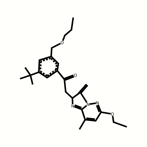 C=C1C(CC(=O)c2cc(COCCC)cc(C(C)(C)C)c2)N=C2C(C)=CC(OCC)=NN12